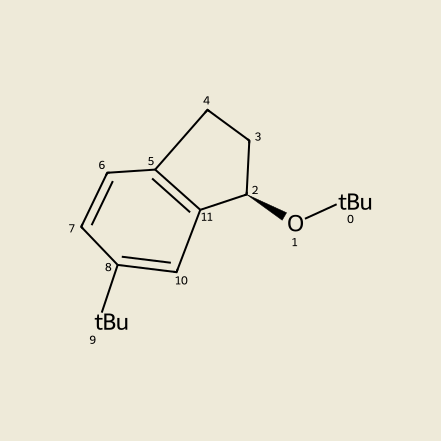 CC(C)(C)O[C@@H]1CCc2ccc(C(C)(C)C)cc21